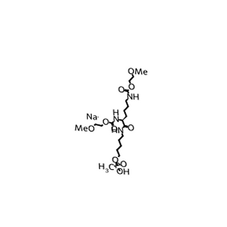 COCCOC(=O)NCCCC[C@H](NC(=O)OCCOC)C(=O)NCCCCCOP(C)(=O)O.[Na]